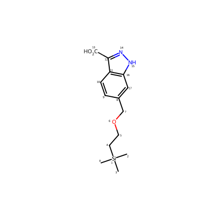 C[Si](C)(C)CCOCc1ccc2c(C(=O)O)n[nH]c2c1